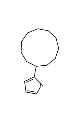 C1=C[N]C(C2CCCCCCCCCC2)=C1